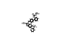 CCCCc1nc2cc(N3CCCCC3=O)c(C)nc2n1Cc1ccc(-c2ccccc2OC(=O)OC(C)(C)C)cc1